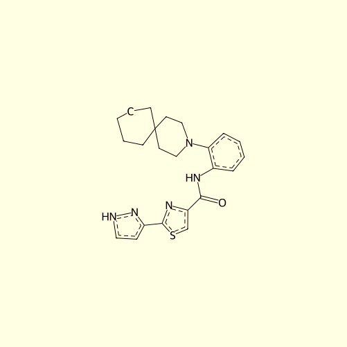 O=C(Nc1ccccc1N1CCC2(CCCCC2)CC1)c1csc(-c2cc[nH]n2)n1